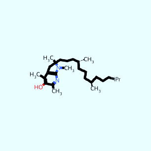 Cc1nc2c(c(C)c1O)CC(C)(CCC[C@H](C)CCC[C@H](C)CCCC(C)C)N2C